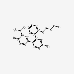 CC(C)n1nc(-c2cnc(N)nc2-c2ccccc2OCCCF)ccc1=O